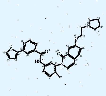 Cc1ccc(NC(=O)c2ccnc(-c3cccs3)c2)cc1-n1ccc2ccc(OCCN3CCCC3)cc2c1=O